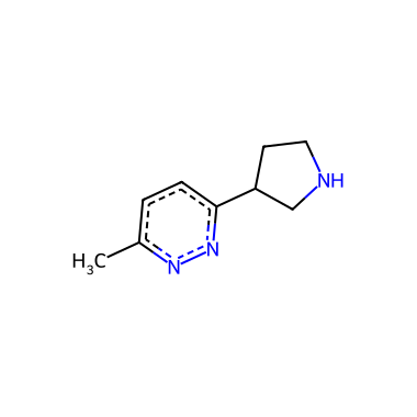 Cc1ccc(C2CCNC2)nn1